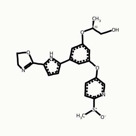 C[C@@H](CO)Oc1cc(Oc2ccc([S+](C)[O-])nc2)cc(-c2ccc(C3=NCCO3)[nH]2)c1